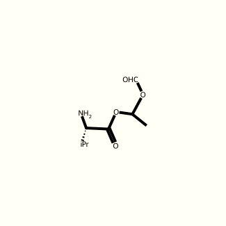 CC(OC=O)OC(=O)[C@@H](N)C(C)C